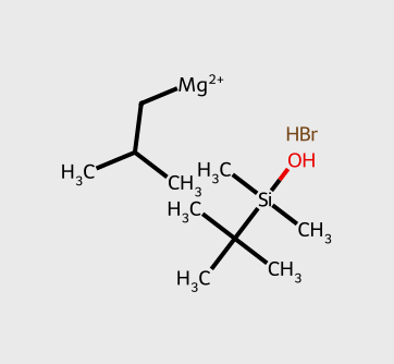 Br.CC(C)(C)[Si](C)(C)O.CC(C)[CH2][Mg+2]